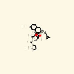 O=C([C@H]1CCCN1)N1C[C@H]2C[C@@]34CC[C@@H]1[C@@H]2[C@@]31CCN(CC2CC2)[C@@H]4Cc2ccc(O)cc21